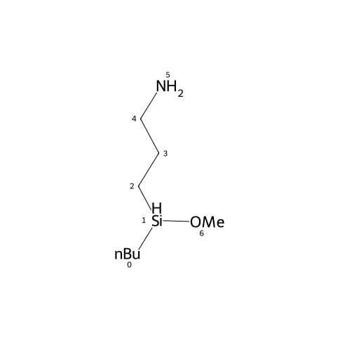 CCCC[SiH](CCCN)OC